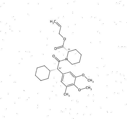 C=CCOC(=O)[C@@H]1CCCCN1C(=O)[C@H](c1cc(C)c(OC)c(OC)c1)C1CCCCC1